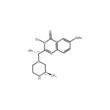 CCC[C@H](c1nc2ccc(OC)cc2c(=O)n1CC)N1CCN[C@H](C)C1